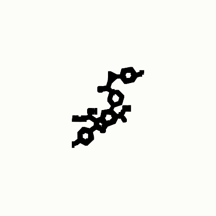 CNC(O)c1c(-c2ccc(F)cc2)oc2cc(N(C)S)c([C@@H]3CCCN(C(=O)C4CC4c4ccc(F)cc4)C3)cc12